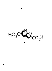 O=C(O)c1cnc2oc(C(=O)O)cc2c1